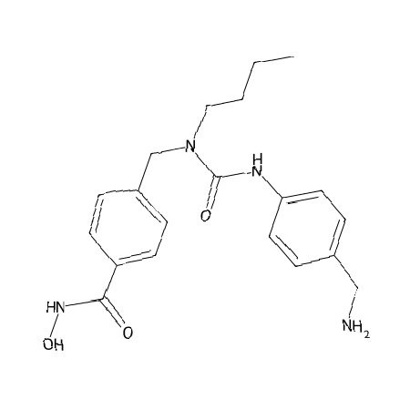 CCCCN(Cc1ccc(C(=O)NO)cc1)C(=O)Nc1ccc(CN)cc1